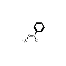 FC(F)(F)SN(Cl)c1ccccc1